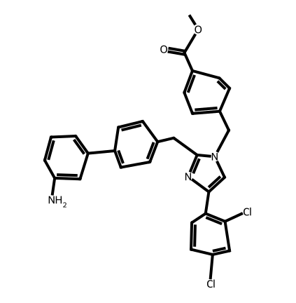 COC(=O)c1ccc(Cn2cc(-c3ccc(Cl)cc3Cl)nc2Cc2ccc(-c3cccc(N)c3)cc2)cc1